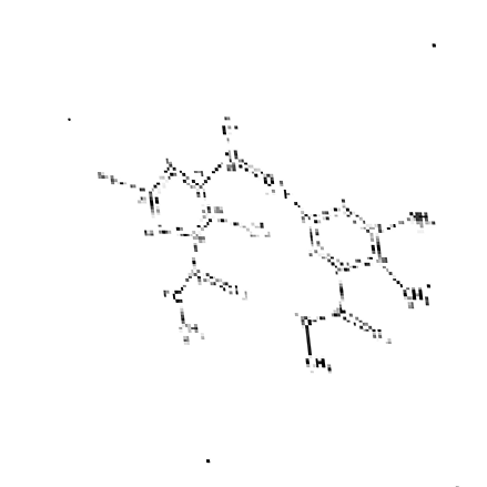 COC(=O)c1cc(F)cc(N)c1C.COC(=O)c1cc(F)cc([N+](=O)[O-])c1C